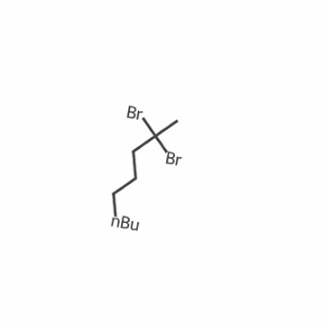 CCCCCCCC(C)(Br)Br